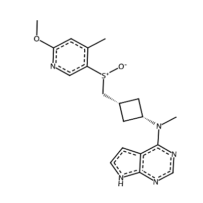 COc1cc(C)c([S+]([O-])C[C@H]2C[C@@H](N(C)c3ncnc4[nH]ccc34)C2)cn1